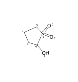 O=S1(=O)CCCC1O